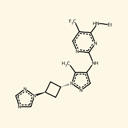 CCNc1nc(Nc2cnn([C@H]3C[C@H](n4cncn4)C3)c2C)ncc1C(F)(F)F